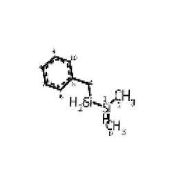 C[SiH](C)[SiH2]Cc1ccccc1